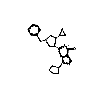 O=c1[nH]c([C@@H]2CN(Cc3ccccc3)C[C@H]2C2CC2)nc2c1cnn2C1CCCC1